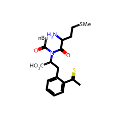 CCCCC(=O)N(C(=O)C(N)CCSC)C(Cc1ccccc1C(C)=S)C(=O)O